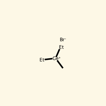 C[CH2][Ge+]([CH3])[CH2]C.[Br-]